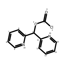 O=C(Cl)OC(c1ccccn1)c1ccccn1